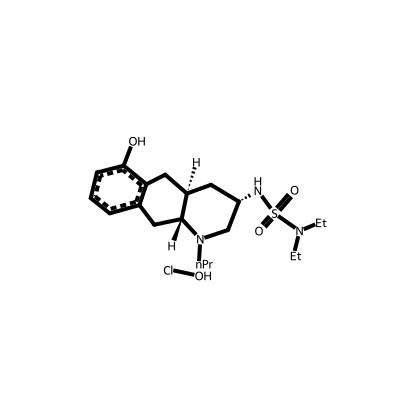 CCCN1C[C@@H](NS(=O)(=O)N(CC)CC)C[C@@H]2Cc3c(O)cccc3C[C@H]21.OCl